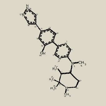 CC1C(N(C)c2cnc(-c3ccc(-c4cn[nH]c4)cc3O)cn2)CCN(C)C1(C)C